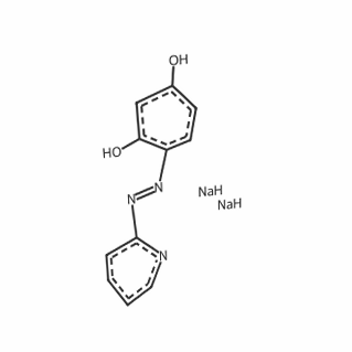 Oc1ccc(N=Nc2ccccn2)c(O)c1.[NaH].[NaH]